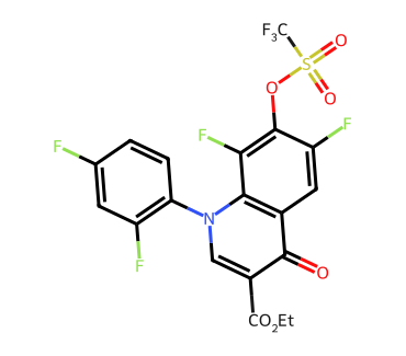 CCOC(=O)c1cn(-c2ccc(F)cc2F)c2c(F)c(OS(=O)(=O)C(F)(F)F)c(F)cc2c1=O